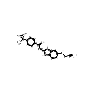 C#CCOc1ccc2nc(NC(=O)c3ccc(C4(C(F)(F)F)N=N4)cc3)sc2c1